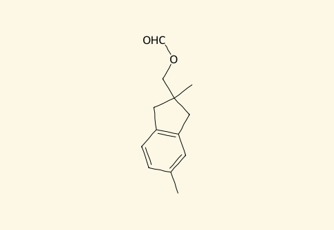 Cc1ccc2c(c1)CC(C)(COC=O)C2